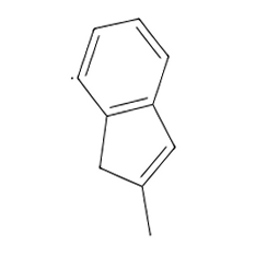 CC1=Cc2ccc[c]c2C1